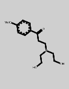 COc1ccc(C(=O)CCN(CCO)CCO)cc1